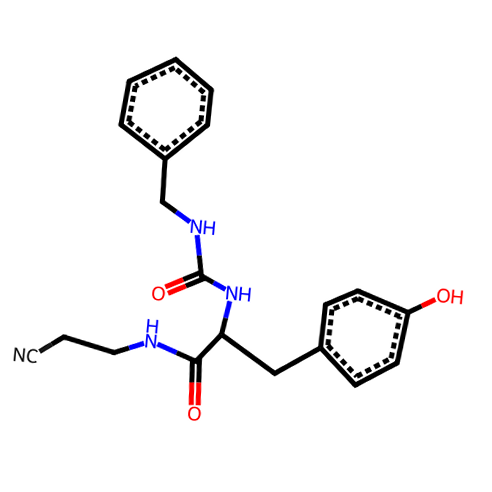 N#CCCNC(=O)C(Cc1ccc(O)cc1)NC(=O)NCc1ccccc1